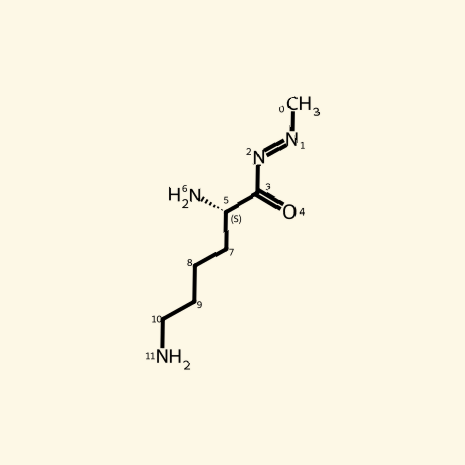 CN=NC(=O)[C@@H](N)CCCCN